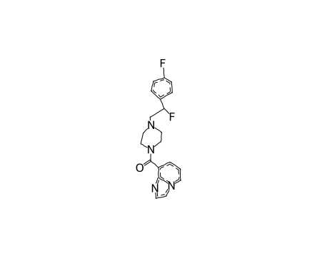 O=C(c1cccn2ccnc12)N1CCN(CC(F)c2ccc(F)cc2)CC1